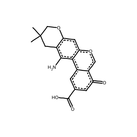 CC1(C)COc2cc3occ4c(=O)cc(C(=O)O)cc-4c3c(N)c2C1